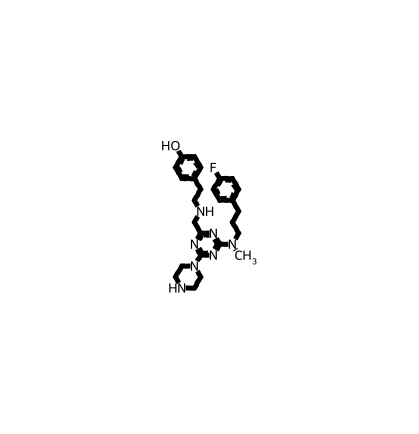 CN(CCCc1ccc(F)cc1)c1nc(CNCCc2ccc(O)cc2)nc(N2CCNCC2)n1